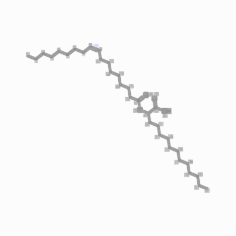 CCCCCCCC/C=C\CCCCCCCC(=O)OC(CCCCCCCCCCCC)C(=O)O